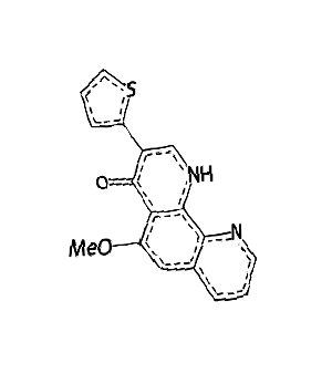 COc1cc2cccnc2c2[nH]cc(-c3cccs3)c(=O)c12